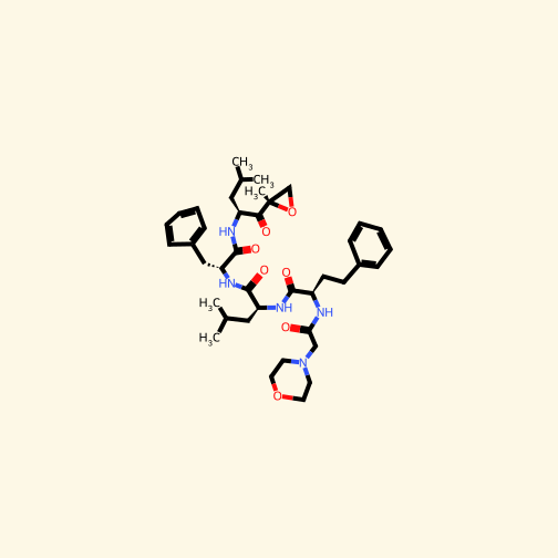 CC(C)C[C@H](NC(=O)[C@@H](CCc1ccccc1)NC(=O)CN1CCOCC1)C(=O)N[C@H](Cc1ccccc1)C(=O)N[C@@H](CC(C)C)C(=O)[C@]1(C)CO1